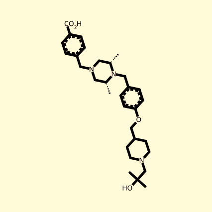 C[C@@H]1CN(Cc2ccc(C(=O)O)cc2)C[C@H](C)N1Cc1ccc(OCC2CCN(CC(C)(C)O)CC2)cc1